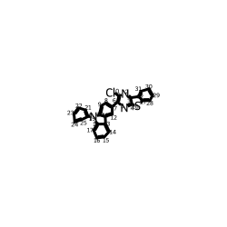 Clc1nc2c(nc1-c1ccc3c(c1)c1ccccc1n3-c1ccccc1)sc1ccccc12